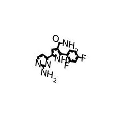 NC(=O)c1cc(-c2ccnc(N)n2)[nH]c1-c1ccc(F)cc1F